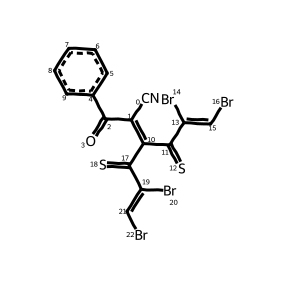 N#CC(C(=O)c1ccccc1)=C(C(=S)C(Br)=CBr)C(=S)C(Br)=CBr